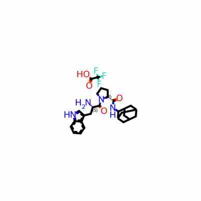 N[C@@H](Cc1c[nH]c2ccccc12)C(=O)N1CCC[C@@H]1C(=O)NC1C2CC3CC(C2)CC1C3.O=C(O)C(F)(F)F